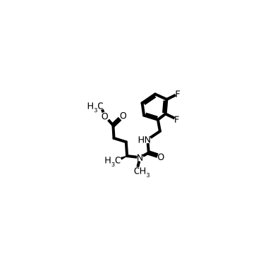 COC(=O)CC[C@H](C)N(C)C(=O)NCc1cccc(F)c1F